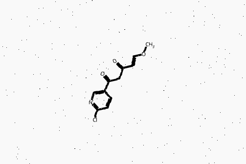 COC=CC(=O)CC(=O)c1ccc(Cl)nc1